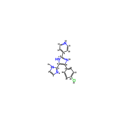 Cn1ccnc1-c1[nH]c(-c2ccncc2)nc1-c1ccc(Cl)cc1